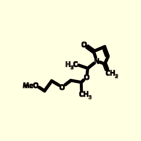 C=C1C=CC(=O)N1C(C)OC(C)COCCOC